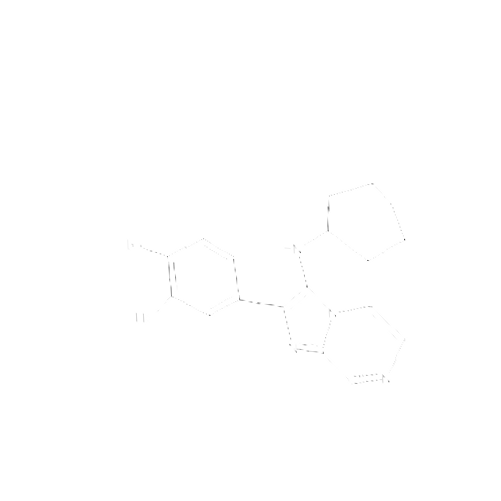 Oc1ccc(-c2nc3cnccn3c2NC2CCCCC2)cc1O